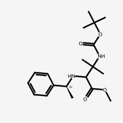 COC(=O)C(N[C@@H](C)c1ccccc1)C(C)(C)NC(=O)OC(C)(C)C